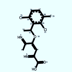 CC(=N)/C(=C\C(=N)C(=O)O)OC(C)c1c(Cl)ccc(F)c1Cl